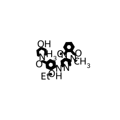 CCOc1cc(C(=O)N2CCC(O)CC2)ccc1Nc1cc2c(cn1)N(C)C(=O)c1ccccc1N2C